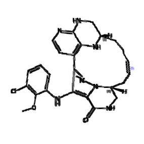 COc1c(Cl)cccc1Nc1c2nn3c1C(=O)NC[C@H]3C/C=C\CC[C@H]1CNc3nccc-2c3N1